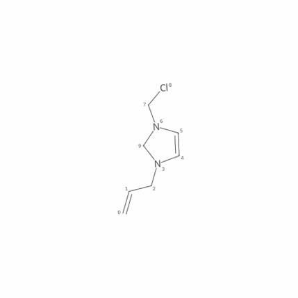 C=CCN1C=CN(CCl)C1